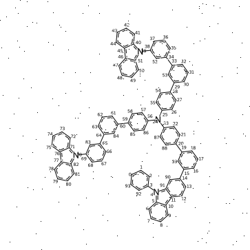 c1ccc(-n2c3ccccc3c3ccc(-c4cccc(-c5ccc(N(c6ccc(-c7cccc(-c8cccc(-n9c%10ccccc%10c%10ccccc%109)c8)c7)cc6)c6ccc(-c7cccc(-c8cccc(-n9c%10ccccc%10c%10ccccc%109)c8)c7)cc6)cc5)c4)cc32)cc1